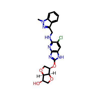 Cn1nc(CNc2nc3nc(O[C@@H]4CO[C@H]5[C@@H]4OC[C@H]5O)[nH]c3cc2Cl)c2ccccc21